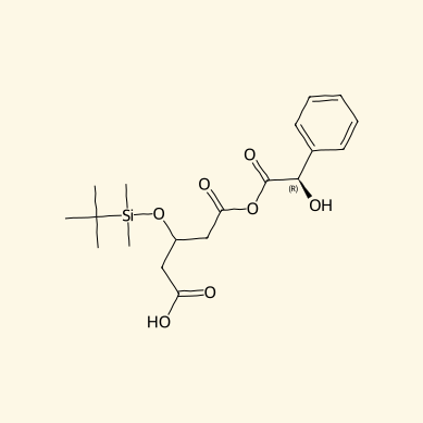 CC(C)(C)[Si](C)(C)OC(CC(=O)O)CC(=O)OC(=O)[C@H](O)c1ccccc1